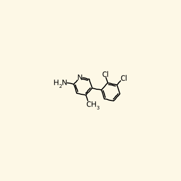 Cc1cc(N)ncc1-c1cccc(Cl)c1Cl